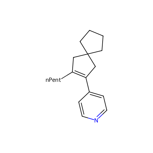 CCCCCC1=C(c2ccncc2)CC2(CCCC2)C1